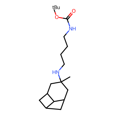 CC1(NCCCCNC(=O)OC(C)(C)C)CC2CC3CC(C1)C32